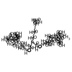 CO[C@H]1C(COS(=O)(=O)O)O[C@@H](O[C@@H]2C(C(O)O)O[C@@H](OCC(O)[C@@H](O)[C@@H](O)C(O)CNc3cccc(NC(=O)CCN(CCNC(=O)CCNC(=O)CCCCC4SC[C@H]5NC(=O)N[C@@H]45)CCC(=O)Nc4cccc(NCC(O)[C@H](O)[C@H](O)C(O)CO[C@@H]5OC(C(O)O)[C@@H](O[C@@H]6OC(COS(=O)(=O)O)[C@H](OC)[C@@H](O)C6NS(=O)(=O)O)[C@@H](O)C5OS(=O)(=O)O)c4)c3)C(OS(=O)(=O)O)[C@@H]2O)C(NS(=O)(=O)O)[C@@H]1O